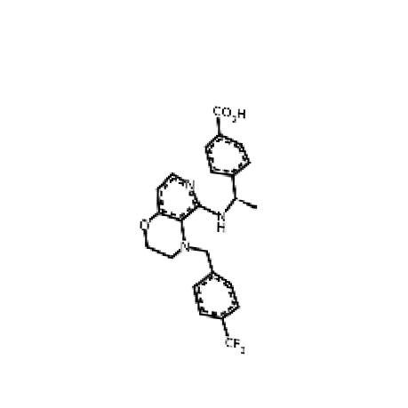 C[C@@H](Nc1nccc2c1N(Cc1ccc(C(F)(F)F)cc1)CCO2)c1ccc(C(=O)O)cc1